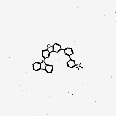 C[Si](C)(C)c1cccc(-c2cccc(-c3ccc4oc5ccc(-n6c7ccccc7c7ccccc76)cc5c4c3)c2)c1